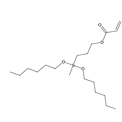 C=CC(=O)OCCC[Si](C)(OCCCCCC)OCCCCCC